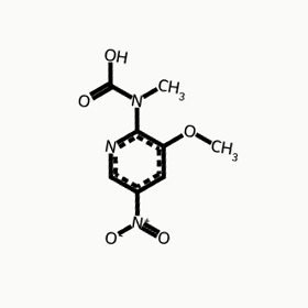 COc1cc([N+](=O)[O-])cnc1N(C)C(=O)O